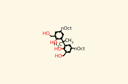 CCCCCCCCc1cc(CO)c(O)c(C(C)(C)c2cc(CCCCCCCC)cc(CO)c2O)c1